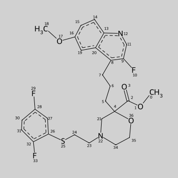 COC(=O)C1(CCCc2c(F)cnc3ccc(OC)cc23)CN(CCSc2cc(F)ccc2F)CCO1